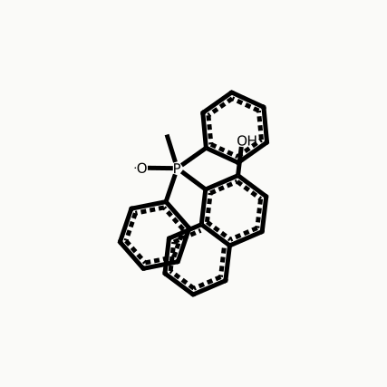 CP([O])(c1ccccc1)(c1ccccc1)c1c(O)ccc2ccccc12